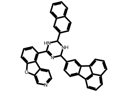 c1ccc2cc(C3NC(c4cccc5oc6cnccc6c45)=NC(c4ccc5c(c4)-c4cccc6cccc-5c46)N3)ccc2c1